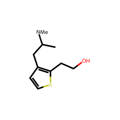 CNC(C)Cc1ccsc1CCO